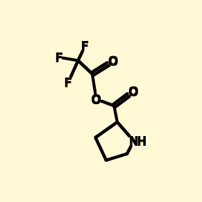 O=C(OC(=O)C(F)(F)F)C1CCCN1